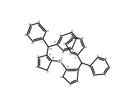 C1=CC(C(c2ccccc2)c2ccccc2)=[C]([Zr][C]2=C(C(c3ccccc3)c3ccccc3)C=CC2)C1